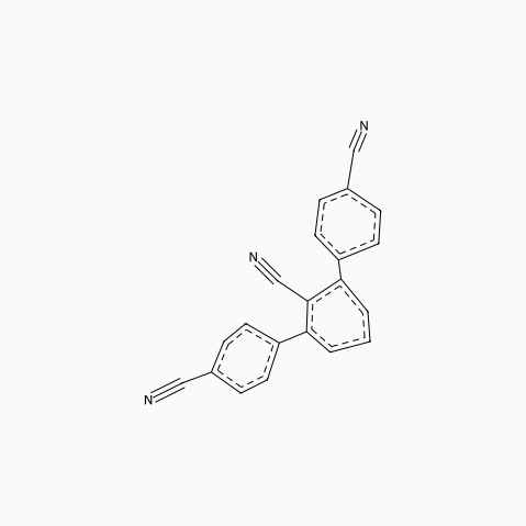 N#Cc1ccc(-c2cccc(-c3ccc(C#N)cc3)c2C#N)cc1